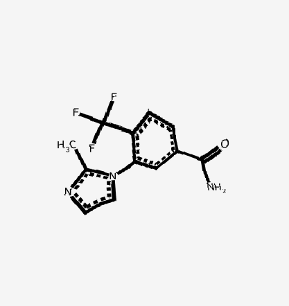 Cc1nccn1-c1cc(C(N)=O)c[c]c1C(F)(F)F